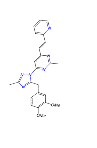 COc1ccc(Cc2nc(C)nn2-c2cc(C=Cc3ccccn3)nc(C)n2)cc1OC